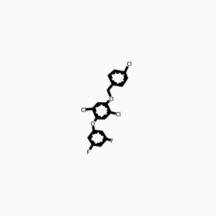 Fc1cc(F)cc(Oc2cc(Cl)c(OCc3ccc(Cl)cc3)cc2Cl)c1